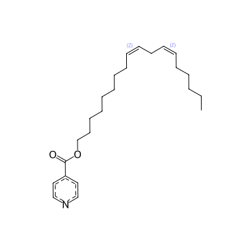 CCCCC/C=C\C/C=C\CCCCCCCCOC(=O)c1ccncc1